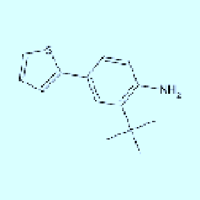 CC(C)(C)c1cc(-c2cccs2)ccc1N